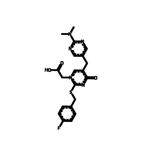 CN(C)c1ncc(Cc2cn(CC(=O)O)c(SCc3ccc(F)cc3)nc2=O)cn1